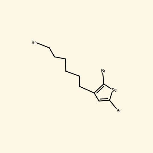 BrCCCCCCc1cc(Br)[se]c1Br